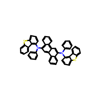 c1ccc(N(c2cc3c4ccccc4c(N(c4ccccc4)c4cccc5sc6ccccc6c45)cc3c3ccccc23)c2cccc3sc4ccccc4c23)cc1